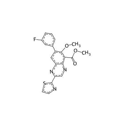 COC(=O)c1c(OC)c(-c2cccc(F)c2)cc2nc(-c3nccs3)cnc12